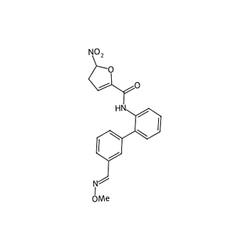 CO/N=C/c1cccc(-c2ccccc2NC(=O)C2=CCC([N+](=O)[O-])O2)c1